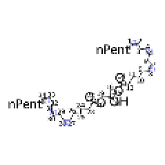 CCCCC/C=C\C/C=C\C/C=C\CCCCC(=O)OCC(O)COC(=O)CCCC/C=C\C/C=C\C/C=C\CCCCC